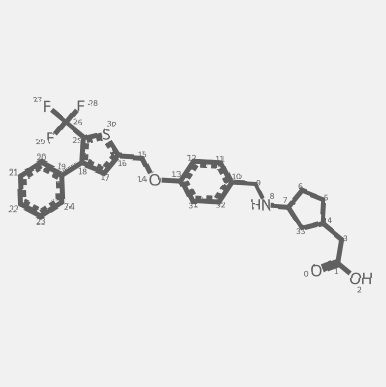 O=C(O)CC1CCC(NCc2ccc(OCc3cc(-c4ccccc4)c(C(F)(F)F)s3)cc2)C1